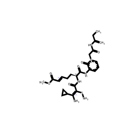 C=C(CC)NC(=O)Cn1cccc(NC(=O)[C@H](CC/C=C/C(=O)OC)NC(=O)/C(SN)=C(/N)C2CC2)c1=O